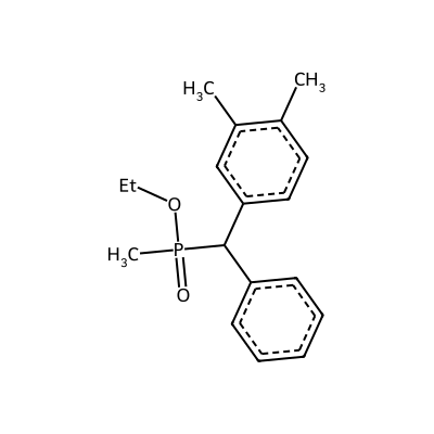 CCOP(C)(=O)C(c1ccccc1)c1ccc(C)c(C)c1